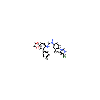 COc1cc(Nc2nc3c(s2)CC2(CC3c3ccc(F)cc3)OCCO2)ccc1-n1cnc(Cl)c1